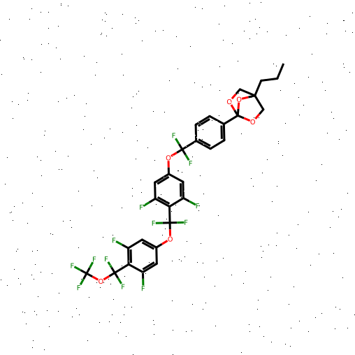 CCCC12COC(c3ccc(C(F)(F)Oc4cc(F)c(C(F)(F)Oc5cc(F)c(C(F)(F)OC(F)(F)F)c(F)c5)c(F)c4)cc3)(OC1)O2